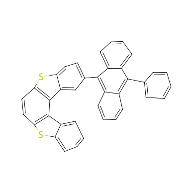 c1ccc(-c2c3ccccc3c(-c3ccc4sc5ccc6sc7ccccc7c6c5c4c3)c3ccccc23)cc1